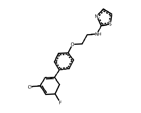 FC1C=C(Cl)[C]=C(c2ccc(OCCNc3nccs3)cc2)C1